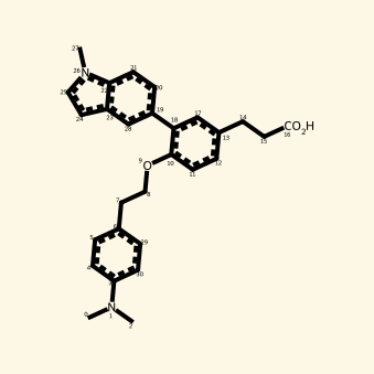 CN(C)c1ccc(CCOc2ccc(CCC(=O)O)cc2-c2ccc3c(ccn3C)c2)cc1